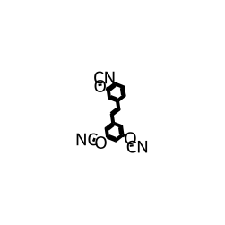 N#COc1cccc(C=Cc2cc(OC#N)cc(OC#N)c2)c1